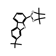 CC(C)(C)c1ccc2c(c1)sc1c(B3OC(C)(C)C(C)(C)O3)cccc12